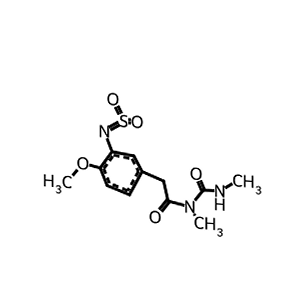 CNC(=O)N(C)C(=O)Cc1ccc(OC)c(N=S(=O)=O)c1